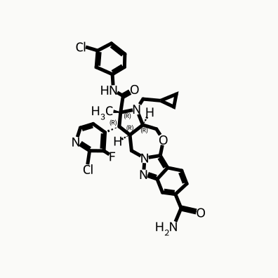 C[C@]1(C(=O)Nc2cccc(Cl)c2)[C@@H](c2ccnc(Cl)c2F)[C@@H]2Cn3nc4cc(C(N)=O)ccc4c3OC[C@@H]2N1CC1CC1